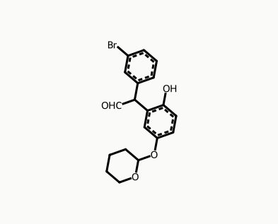 O=CC(c1cccc(Br)c1)c1cc(OC2CCCCO2)ccc1O